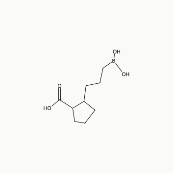 O=C(O)C1CCCC1CCCB(O)O